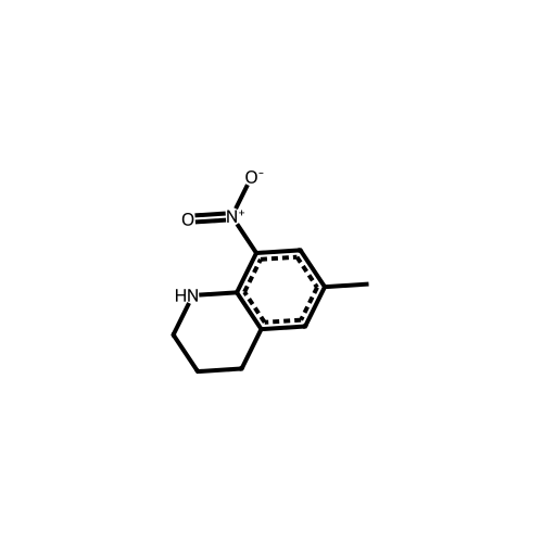 Cc1cc2c(c([N+](=O)[O-])c1)NCCC2